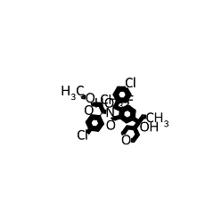 CCOC(=O)[C@@H](C)[C@@H](c1ccc(Cl)cc1)N1C(=O)c2cc([C@](O)(CC)C3CCOCC3)cc(F)c2C1(O)c1ccc(Cl)cc1